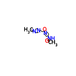 CCN1CCN(CCC(=O)N2CCC(NC(C)=O)CC2)CC1